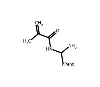 C=C(C)C(=O)NC(N)CCCCC